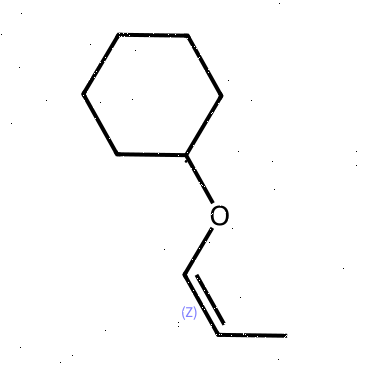 C/C=C\O[C]1CCCCC1